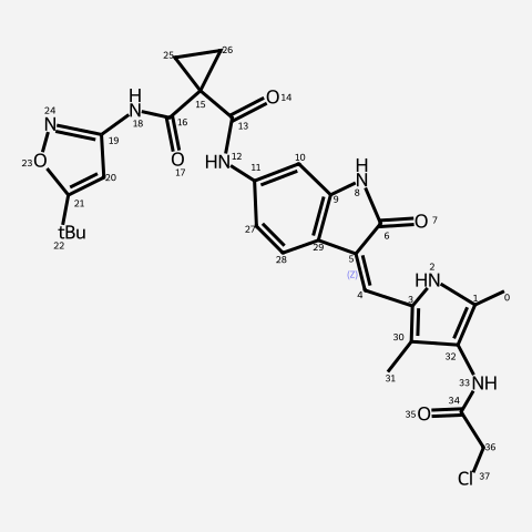 Cc1[nH]c(/C=C2\C(=O)Nc3cc(NC(=O)C4(C(=O)Nc5cc(C(C)(C)C)on5)CC4)ccc32)c(C)c1NC(=O)CCl